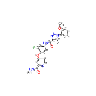 CCCNC(=O)c1cc(Oc2ccc(NC(=O)c3nnn(-c4ccccc4OC(F)(F)F)c3C)cc2F)ccn1